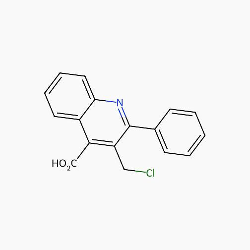 O=C(O)c1c(CCl)c(-c2ccccc2)nc2ccccc12